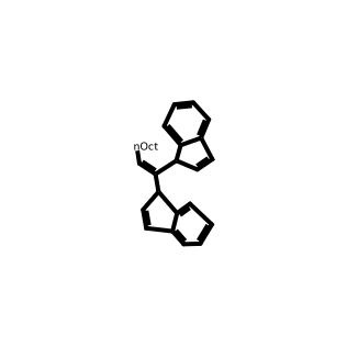 CCCCCCCCC=C(C1C=Cc2ccccc21)C1C=Cc2ccccc21